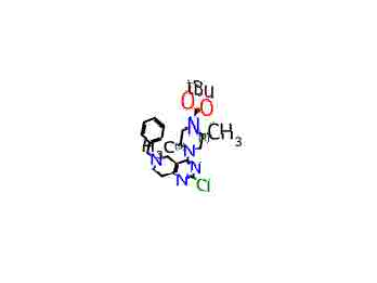 C[C@@H]1CN(c2nc(Cl)nc3c2CN(Cc2ccccc2)CC3)[C@@H](C)CN1C(=O)OC(C)(C)C